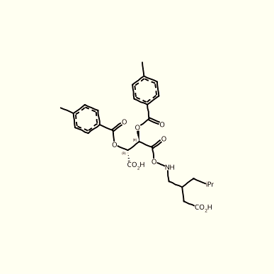 Cc1ccc(C(=O)O[C@@H](C(=O)O)[C@@H](OC(=O)c2ccc(C)cc2)C(=O)ONCC(CC(=O)O)CC(C)C)cc1